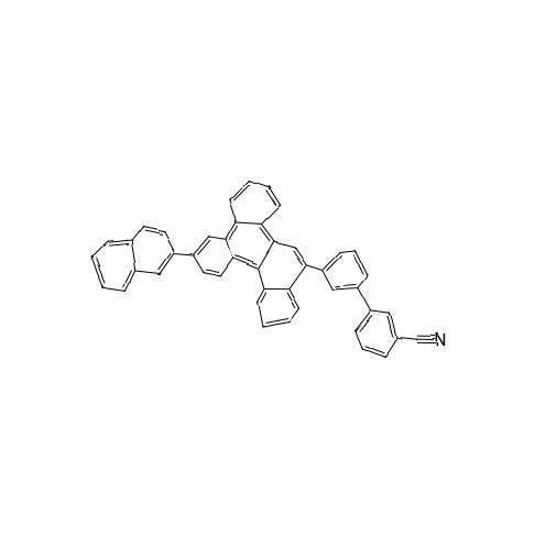 N#Cc1cccc(-c2cccc(-c3cc4c5ccccc5c5cc(-c6ccc7ccccc7c6)ccc5c4c4ccccc34)c2)c1